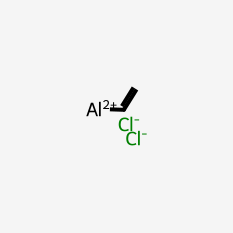 C=[CH][Al+2].[Cl-].[Cl-]